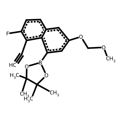 C#Cc1c(F)ccc2cc(OCOC)cc(B3OC(C)(C)C(C)(C)O3)c12